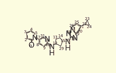 O=c1ccccn1-c1ccc(N[C@H]2CC[C@H](Nc3nc4cc(C5CC5)ccn4n3)C2)nc1